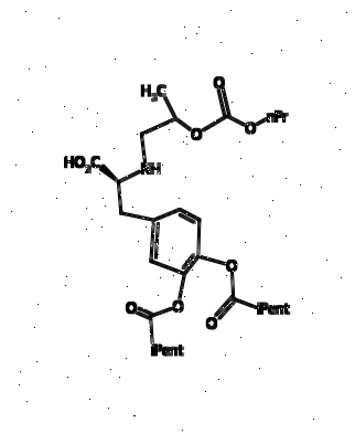 CCCOC(=O)OC(C)CN[C@@H](Cc1ccc(OC(=O)C(C)CCC)c(OC(=O)C(C)CCC)c1)C(=O)O